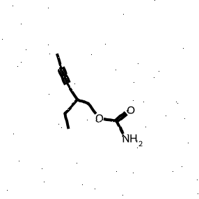 CC#CC(CC)COC(N)=O